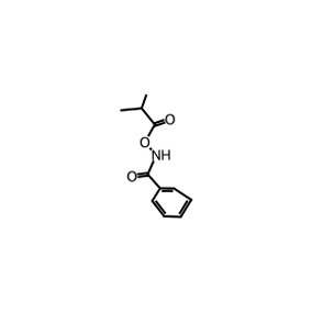 CC(C)C(=O)ONC(=O)c1ccccc1